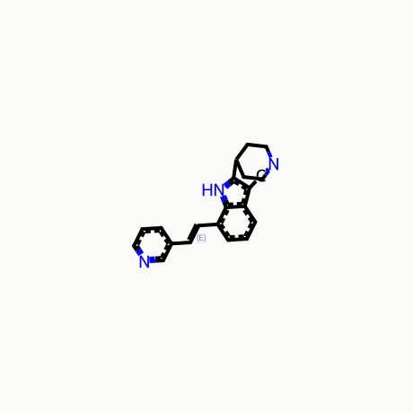 C(=C\c1cccc2c3c([nH]c12)C1CCN(CC1)C3)/c1cccnc1